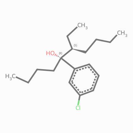 CCCC[C@H](CC)[C@](O)(CCCC)c1cccc(Cl)c1